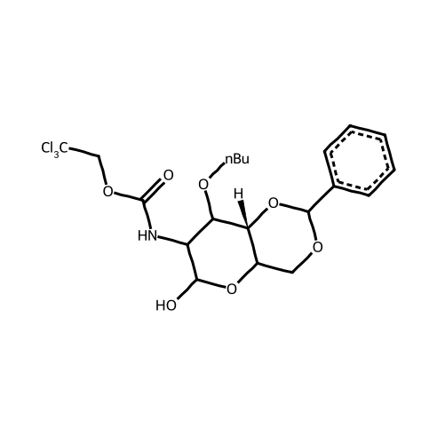 CCCCOC1C(NC(=O)OCC(Cl)(Cl)Cl)C(O)OC2COC(c3ccccc3)O[C@H]21